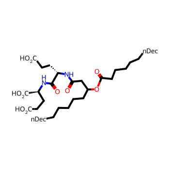 CCCCCCCCCCCCCCCC(=O)OC(CCCCCCCCCCCCCCC)CC(=O)N[C@@H](CCC(=O)O)C(=O)N[C@@H](CCC(=O)O)C(=O)O